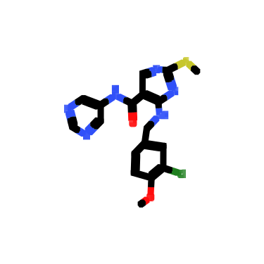 COc1ccc(CNc2nc(SC)ncc2C(=O)Nc2cncnc2)cc1Cl